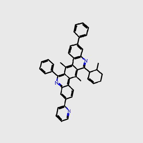 Cc1c2c(C3C=CCCC3C)nc3cc(-c4ccccc4)ccc3c2c(C)c2c(-c3ccccc3)nc3cc(-c4ccccn4)ccc3c12